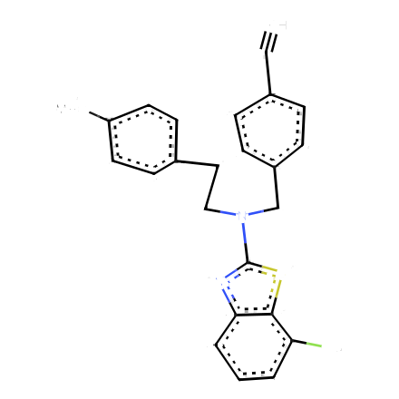 C#Cc1ccc(CN(CCc2ccc(OC)cc2)c2nc3cccc(F)c3s2)cc1